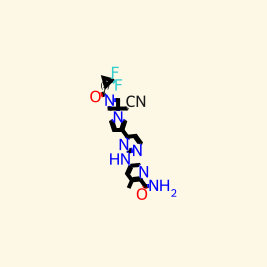 Cc1cc(Nc2nccc(-c3ccn(C4(CC#N)CN(C(=O)[C@@H]5CC5(F)F)C4)c3)n2)cnc1C(N)=O